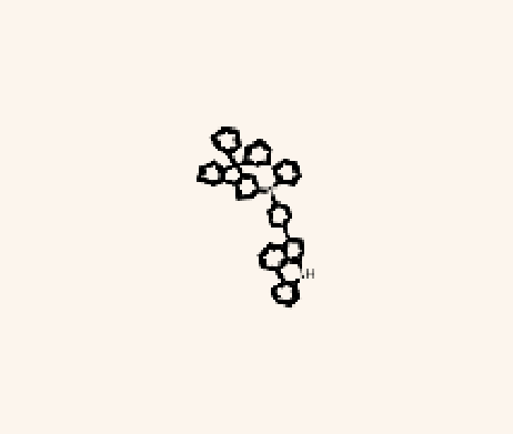 c1ccc(N(c2ccc(-c3ccc4c5c(cccc35)-c3ccccc3N4)cc2)c2ccc3c(c2)C(c2ccccc2)(c2ccccc2)c2ccccc2-3)cc1